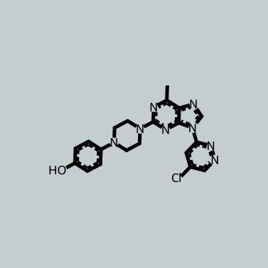 Cc1nc(N2CCN(c3ccc(O)cc3)CC2)nc2c1ncn2-c1cc(Cl)cnn1